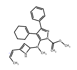 C=C(OC)n1nc(-c2ccccc2)c(C2=CCCCC2)c1N(C)C1C=C(/C=C\C)N1